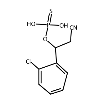 N#CCC(OP(O)(O)=S)c1ccccc1Cl